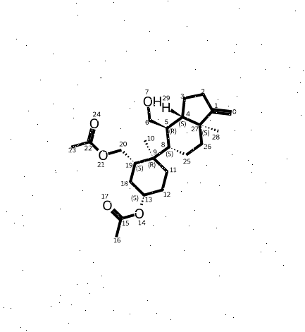 C=C1CC[C@H]2[C@H](CO)[C@@H]([C@@]3(C)CC[C@H](OC(C)=O)C[C@@H]3COC(C)=O)CC[C@]12C